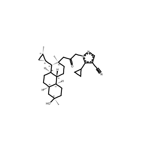 C[C@H]1C[C@H]1[C@H]1[C@@H]2CC[C@@H]3C[C@](C)(O)CC[C@@H]3[C@H]2CC[C@]1(C)CC(=O)Cn1ncc(C#N)c1C1CC1